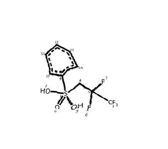 O=S(O)(O)(CC(F)(F)C(F)(F)F)c1ccccc1